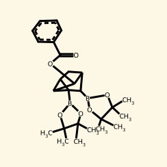 CC1(C)OB(C2C3CC4C(C3OC(=O)c3ccccc3)C42B2OC(C)(C)C(C)(C)O2)OC1(C)C